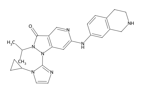 CC(C)n1c(=O)c2cnc(Nc3ccc4c(c3)CNCC4)cc2n1-c1nccn1C1CC1